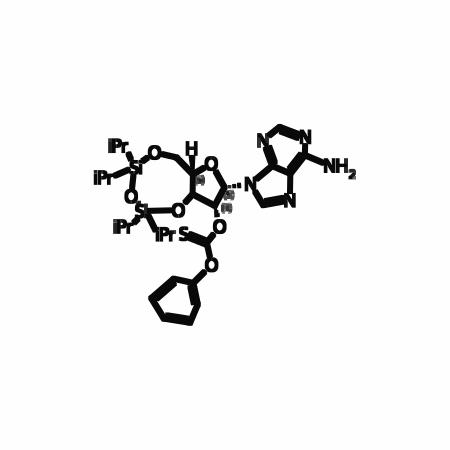 CC(C)[Si]1(C(C)C)OC[C@@H]2O[C@H](n3cnc4c(N)ncnc43)[C@H](OC(=S)Oc3ccccc3)C2O[Si](C(C)C)(C(C)C)O1